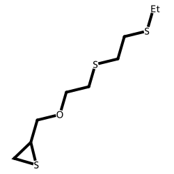 CCSCCSCCOCC1CS1